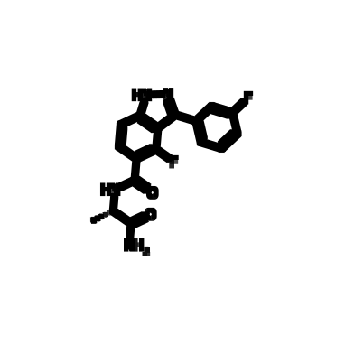 C[C@H](NC(=O)c1ccc2[nH]nc(-c3cccc(F)c3)c2c1F)C(N)=O